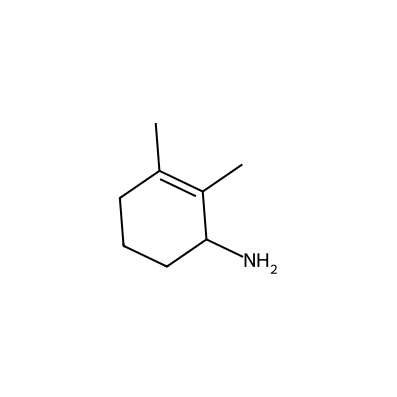 CC1=C(C)C(N)CCC1